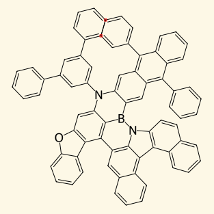 c1ccc(-c2cc(-c3ccccc3)cc(N3c4cc5c(-c6ccccc6)c6ccccc6c(-c6ccccc6)c5cc4B4c5c3cc3oc6ccccc6c3c5-c3cc5ccccc5c5c6c7ccccc7ccc6n4c35)c2)cc1